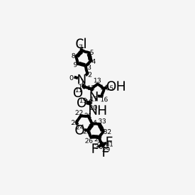 CN(Cc1ccc(Cl)cc1)C(=O)C1CC(O)CN1C(=O)NC1CCOc2cc(C(F)(F)F)ccc21